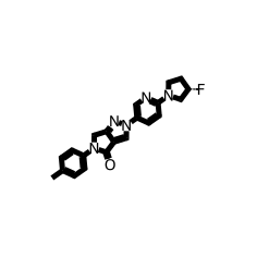 Cc1ccc(N2Cc3nn(-c4ccc(N5CC[C@H](F)C5)nc4)cc3C2=O)cc1